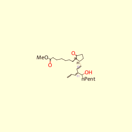 C=C/C=C(\C=C\[C@H]1CCC(=O)[C@@H]1CCCCCCC(=O)OC)C(O)CCCCC